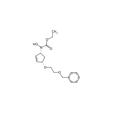 CCOC(=O)N(O)[C@H]1C=C[C@@H](OCCOCc2ccccc2)C1